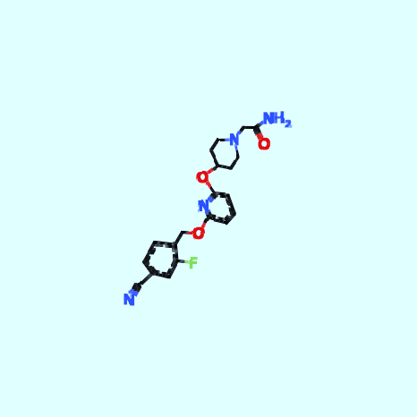 N#Cc1ccc(COc2cccc(OC3CCN(CC(N)=O)CC3)n2)c(F)c1